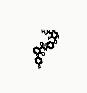 Nc1ncnc(Oc2ccc(NC(=O)c3cccn(-c4ccc(F)cc4)c3=O)cc2)c1F